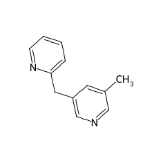 Cc1cncc(Cc2ccccn2)c1